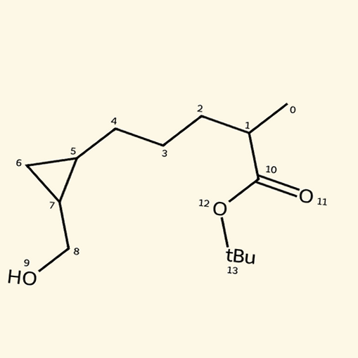 CC(CCCC1CC1CO)C(=O)OC(C)(C)C